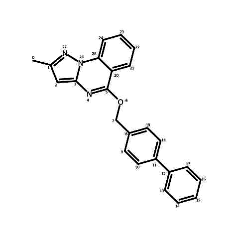 Cc1cc2nc(OCc3ccc(-c4ccccc4)cc3)c3ccccc3n2n1